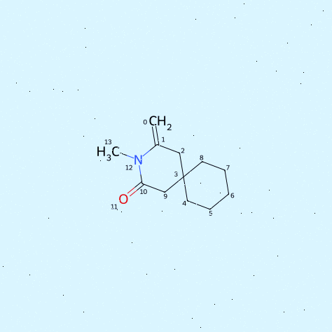 C=C1CC2(CCCCC2)CC(=O)N1C